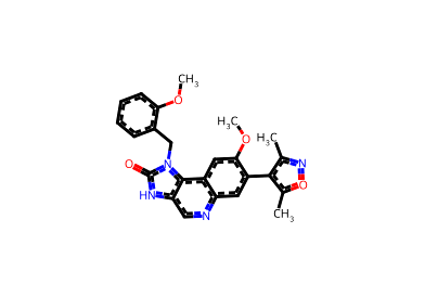 COc1ccccc1Cn1c(=O)[nH]c2cnc3cc(-c4c(C)noc4C)c(OC)cc3c21